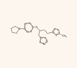 Cc1ccc(CCC(Cn2ccnc2)Sc2ccc(N3CCCC3)cc2)s1